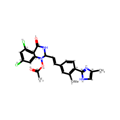 COc1cc(C=CC2NC(=O)c3c(Cl)cc(Cl)cc3N2OC(=O)C(F)(F)F)ccc1-c1nc(C)c[nH]1